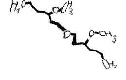 CCCC(C=COC=CC(CCC)OC)OC